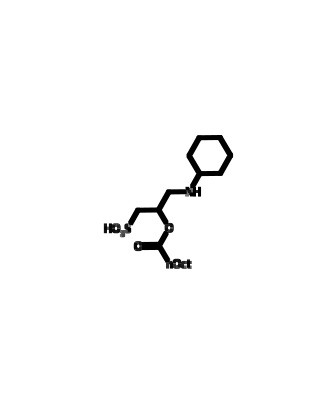 CCCCCCCCC(=O)OC(CNC1CCCCC1)CS(=O)(=O)O